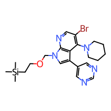 C[Si](C)(C)CCOCn1cc(-c2cncnc2)c2c(N3CCCCC3)c(Br)cnc21